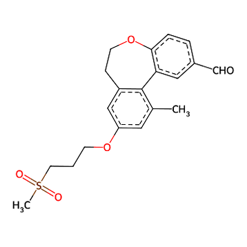 Cc1cc(OCCCS(C)(=O)=O)cc2c1-c1cc(C=O)ccc1OCC2